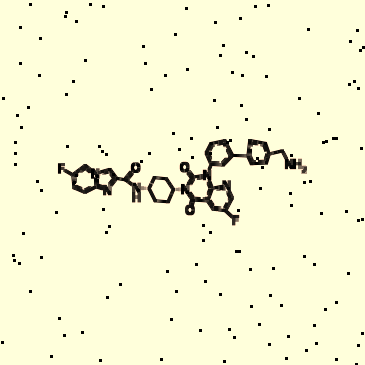 NCc1ccc(-c2cccc(-n3c(=O)n([C@H]4CC[C@@H](NC(=O)c5cn6cc(F)ccc6n5)CC4)c(=O)c4cc(F)cnc43)c2)cc1